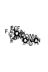 COc1c(NC(=O)c2ccncc2)cccc1C(=O)Nc1c(Br)cc(C(F)(C(F)(F)F)C(F)(F)F)cc1OC(F)F